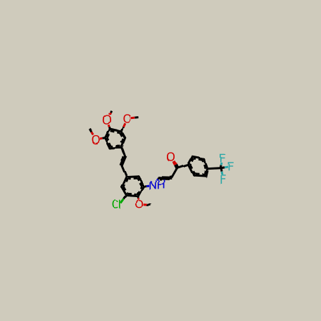 COc1cc(C=Cc2cc(Cl)c(OC)c(NC=CC(=O)c3ccc(C(F)(F)F)cc3)c2)cc(OC)c1OC